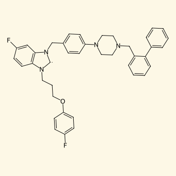 Fc1ccc(OCCCN2[CH]N(Cc3ccc(N4CCN(Cc5ccccc5-c5ccccc5)CC4)cc3)c3cc(F)ccc32)cc1